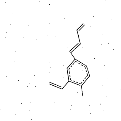 C=CC=Cc1ccc(C)c(C=C)c1